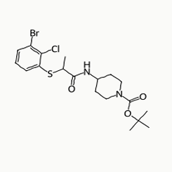 CC(Sc1cccc(Br)c1Cl)C(=O)NC1CCN(C(=O)OC(C)(C)C)CC1